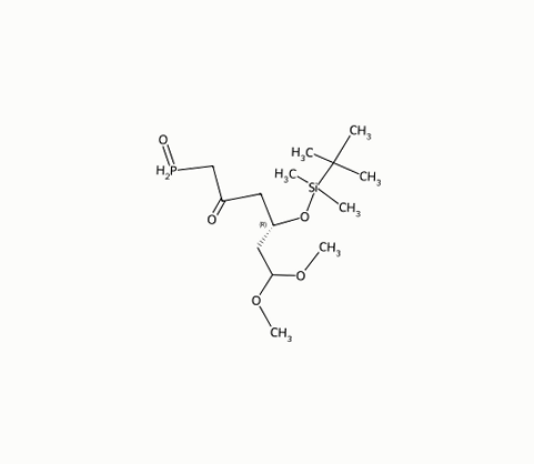 COC(C[C@H](CC(=O)C[PH2]=O)O[Si](C)(C)C(C)(C)C)OC